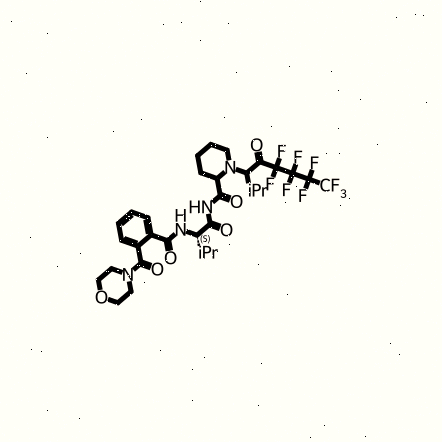 CC(C)C(C(=O)C(F)(F)C(F)(F)C(F)(F)C(F)(F)F)N1CCCCC1C(=O)NC(=O)[C@@H](NC(=O)c1ccccc1C(=O)N1CCOCC1)C(C)C